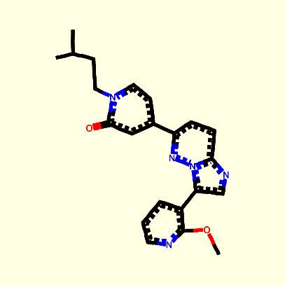 COc1ncccc1-c1cnc2ccc(-c3ccn(CCC(C)C)c(=O)c3)nn12